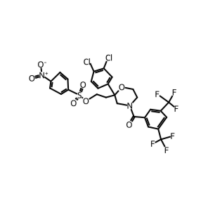 O=C(c1cc(C(F)(F)F)cc(C(F)(F)F)c1)N1CCOC(CCOS(=O)(=O)c2ccc([N+](=O)[O-])cc2)(c2ccc(Cl)c(Cl)c2)C1